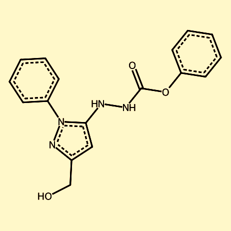 O=C(NNc1cc(CO)nn1-c1ccccc1)Oc1ccccc1